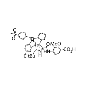 COc1cc(C(=O)O)ccc1NC(=O)[C@@H]1NC(CC(C)(C)C)[C@@]2(CN(Cc3ccc(S(C)(=O)=O)cc3)c3ccc(Cl)cc32)[C@H]1c1ccccc1Cl